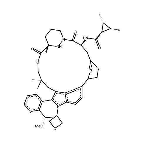 CO[C@@H](C)c1ncccc1-c1c2c3cc(ccc3n1C1COC1)C1CSC(=N1)C[C@H](NC(=O)[C@H]1[C@H](C)[C@@H]1C)C(=O)N1CCC[C@H](N1)C(=O)OCC(C)(C)C2